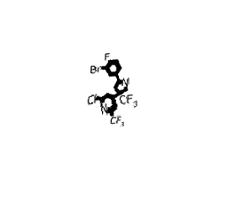 Fc1ccc(C2=NCC(c3cc(Cl)nc(C(F)(F)F)c3)(C(F)(F)F)C2)cc1Br